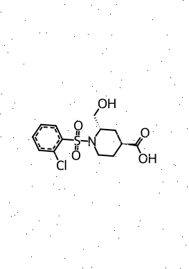 O=C(O)[C@H]1CCN(S(=O)(=O)c2ccccc2Cl)[C@H](CO)C1